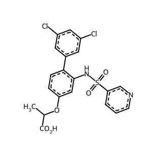 CC(Oc1ccc(-c2cc(Cl)cc(Cl)c2)c(NS(=O)(=O)c2cccnc2)c1)C(=O)O